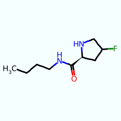 CCCCNC(=O)[C@@H]1CC(F)CN1